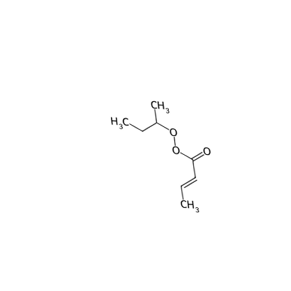 C/C=C/C(=O)OOC(C)CC